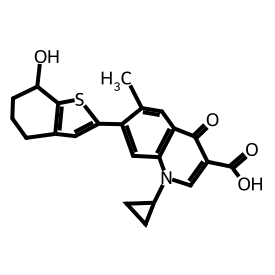 Cc1cc2c(=O)c(C(=O)O)cn(C3CC3)c2cc1-c1cc2c(s1)C(O)CCC2